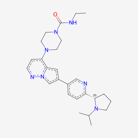 CCNC(=O)N1CCN(c2ccnn3cc(-c4ccc([C@@H]5CCCN5C(C)C)nc4)cc23)CC1